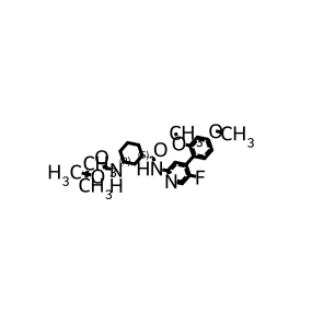 COc1ccc(-c2cc(NC(=O)[C@H]3CCC[C@@H](NC(=O)OC(C)(C)C)C3)ncc2F)c(OC)c1